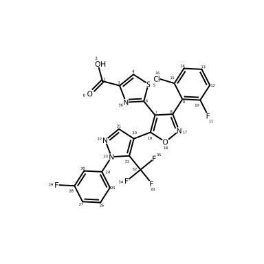 O=C(O)c1csc(-c2c(-c3c(F)cccc3Cl)noc2-c2cnn(-c3cccc(F)c3)c2C(F)(F)F)n1